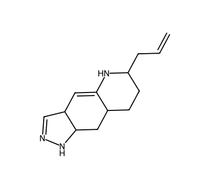 C=CCC1CCC2CC3NN=CC3C=C2N1